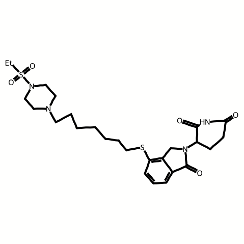 CCS(=O)(=O)N1CCN(CCCCCCCSc2cccc3c2CN(C2CCC(=O)NC2=O)C3=O)CC1